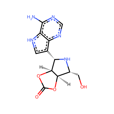 Nc1ncnc2c([C@@H]3N[C@H](CO)[C@H]4OC(=O)O[C@H]43)c[nH]c12